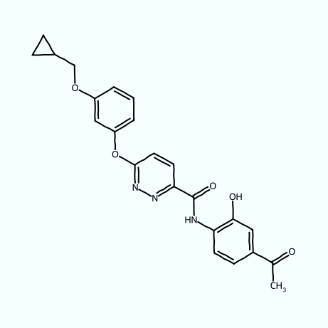 CC(=O)c1ccc(NC(=O)c2ccc(Oc3cccc(OCC4CC4)c3)nn2)c(O)c1